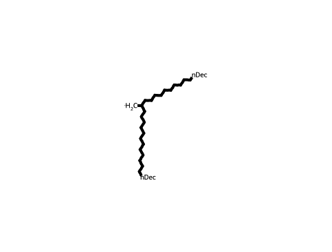 [CH2]C(CCCCCCCCCCCCCCCCCCCC)CCCCCCCCCCCCCCCCCCCCCC